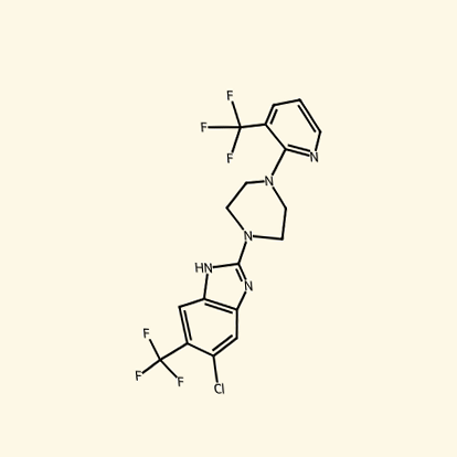 FC(F)(F)c1cc2[nH]c(N3CCN(c4ncccc4C(F)(F)F)CC3)nc2cc1Cl